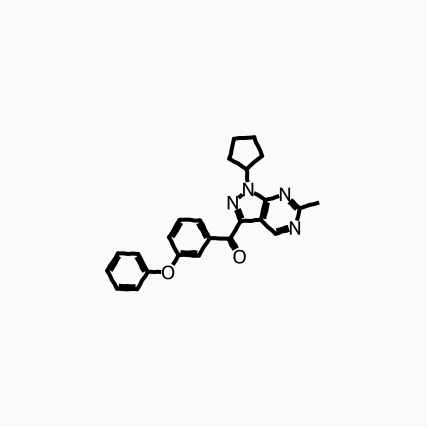 Cc1ncc2c(C(=O)c3cccc(Oc4ccccc4)c3)nn(C3CCCC3)c2n1